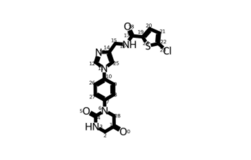 O=C1CNC(=O)N(c2ccc(-n3cnc(CNC(=O)c4ccc(Cl)s4)c3)cc2)C1